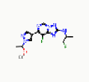 CCOC(C)n1cc(-c2ncn3nc(N[C@@H](C)CF)nc3c2F)cn1